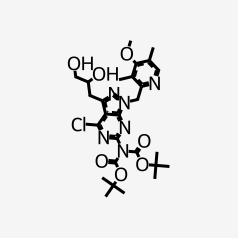 COc1c(C)cnc(Cn2nc(CC(O)CO)c3c(Cl)nc(N(C(=O)OC(C)(C)C)C(=O)OC(C)(C)C)nc32)c1C